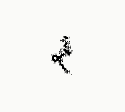 CC(C)NC(=O)CNC(=O)C(NC(=O)c1nn(CCCCN)c2c1CCC=C2)C(C)(C)C